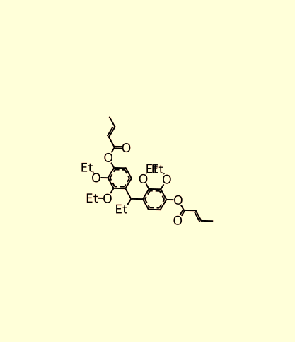 CC=CC(=O)Oc1ccc(C(CC)c2ccc(OC(=O)C=CC)c(OCC)c2OCC)c(OCC)c1OCC